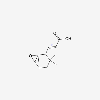 CC1(C)CCC2OC2(C)C1/C=C/C(=O)O